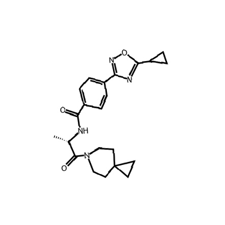 C[C@H](NC(=O)c1ccc(-c2noc(C3CC3)n2)cc1)C(=O)N1CCC2(CC1)CC2